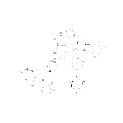 c1ccc(-c2ccc(-c3nc(-c4cccc5oc6cc(-c7ccc(N(c8ccccc8)c8ccccc8)cc7)ccc6c45)nc4ccccc34)cc2)cc1